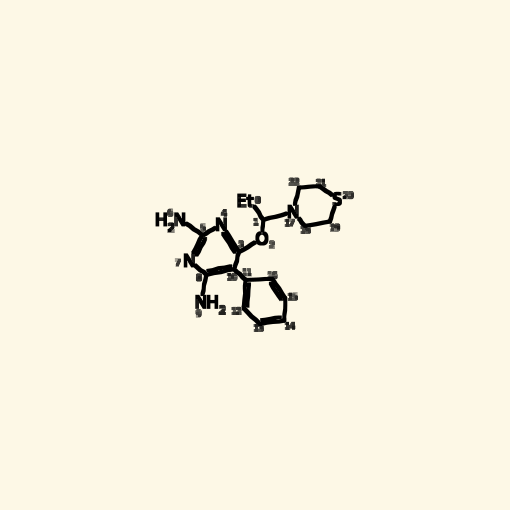 CCC(Oc1nc(N)nc(N)c1-c1ccccc1)N1CCSCC1